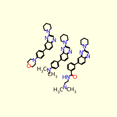 CN(C)CCNC(=O)c1cccc(-c2ccc3ncc(N4CCCCC4)nc3c2)c1.CN(C)c1ccc(-c2ccc3ncc(N4CCCCC4)nc3c2)cc1.c1cc(N2CCOCC2)ccc1-c1ccc2ncc(N3CCCCC3)nc2c1